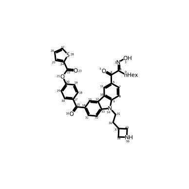 CCCCCC/C(=N\O)C(=O)c1ccc2c(c1)c1cc(C(=O)c3ccc(OC(=O)c4cccs4)cc3)ccc1n2CCC1CNC1